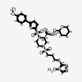 CCOc1ccc(-c2ccc(S(=O)(=O)N3CCN(S(=O)(=O)CCCSc4nncn4C)C[C@@H]3C(=O)NOC3CCCCO3)s2)cc1